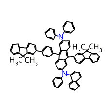 CC1(C)c2ccccc2-c2ccc(-c3ccc(-c4c5ccc(N(c6ccccc6)c6cccc7ccccc67)cc5c(-c5ccc6c(c5)C(C)(C)c5ccccc5-6)c5ccc(N(c6ccccc6)c6ccccc6)cc45)cc3)cc21